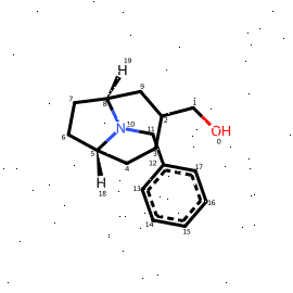 OCC1CC[C@@H]2CC[C@H](C1)N2Cc1ccccc1